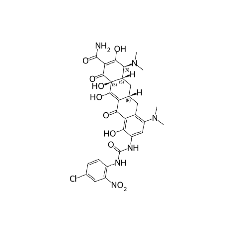 CN(C)c1cc(NC(=O)Nc2ccc(Cl)cc2[N+](=O)[O-])c(O)c2c1C[C@H]1C[C@H]3[C@H](N(C)C)C(O)=C(C(N)=O)C(=O)[C@@]3(O)C(O)=C1C2=O